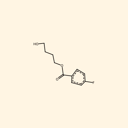 O=C(OCCCCO)c1ccc(F)cc1